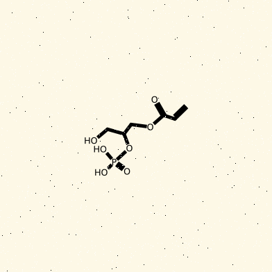 C=CC(=O)OCC(CO)OP(=O)(O)O